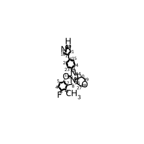 Cc1c(F)cccc1CN1C(=O)N(c2ccc(-c3cn[nH]c3)cc2)CC12CCOCC2